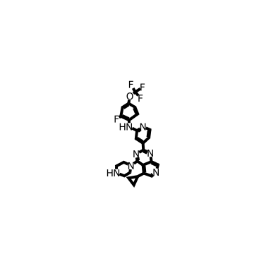 Fc1cc(OC(F)(F)F)ccc1Nc1cc(-c2nc(N3CCNCC3)c3c(C4CC4)cncc3n2)ccn1